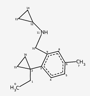 CCC1(c2ccc(C)cc2CNC2CC2)CC1